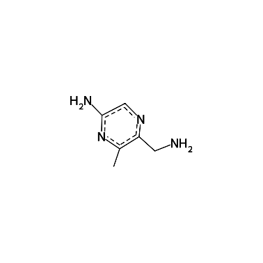 Cc1nc(N)cnc1CN